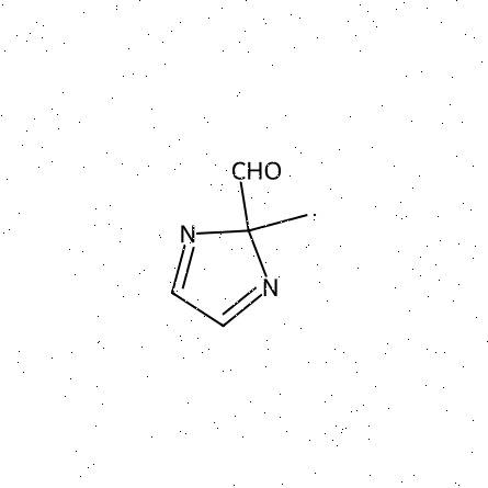 [CH2]C1(C=O)N=CC=N1